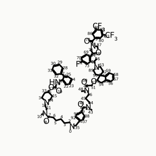 CN(CCCCCC(=O)N(C)CCN1CCC(OC(=O)Nc2ccccc2-c2ccccc2)CC1)Cc1ccc(C(=O)N(C)CCCN(C)C(=O)COC2Cc3ccccc3C23CCN(CC[C@]2(c4ccc(F)cc4)CN(C(=O)c4cc(C(F)(F)F)cc(C(F)(F)F)c4)CO2)CC3)cc1